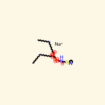 CCCCCCCC/C=C\CCCCCCCC(=O)OC[C@H](COP(=O)([O-])OCCNC(=O)CCSSc1ccccn1)OC(=O)CCCCCCC/C=C\CCCCCCCC.[Na+]